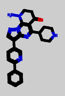 NN1CCC(=O)c2c(C3CCNCC3)nc3c(-c4ccc(-c5ccccc5)nc4)cnn3c21